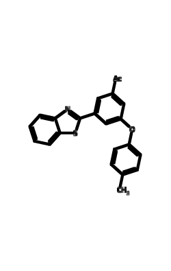 CC(=O)c1cc(Oc2ccc(C)cc2)cc(-c2nc3ccccc3s2)c1